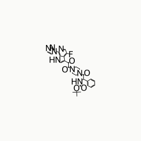 CC(C)(C)OC(=O)N[C@@H](C(=O)N1CCN(C(=O)C(=O)c2c[nH]c3c(-n4ccnn4)ncc(F)c23)CC1)c1ccccc1